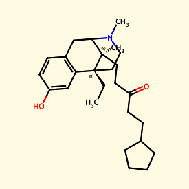 CC[C@@]12CCN(C)C(Cc3ccc(O)cc31)[C@@]2(C)CCC(=O)CCC1CCCC1